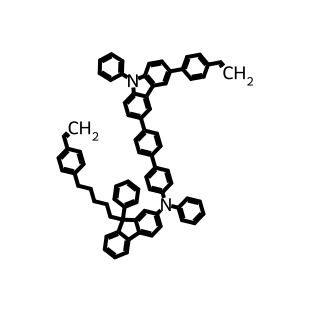 C=Cc1ccc(CCCCCC2(c3ccccc3)c3ccccc3-c3ccc(N(c4ccccc4)c4ccc(-c5ccc(-c6ccc7c(c6)c6cc(-c8ccc(C=C)cc8)ccc6n7-c6ccccc6)cc5)cc4)cc32)cc1